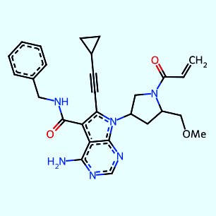 C=CC(=O)N1CC(n2c(C#CC3CC3)c(C(=O)NCc3ccccc3)c3c(N)ncnc32)CC1COC